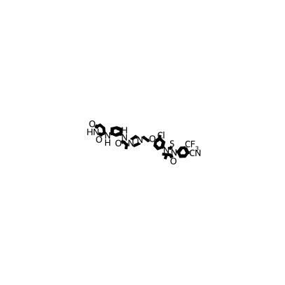 CC(C(=O)Nc1cccc(NC2CCC(=O)NC2=O)c1)N1CCN(CCOc2ccc(N3C(=S)N(c4ccc(C#N)c(C(F)(F)F)c4)C(=O)C3(C)C)cc2Cl)CC1